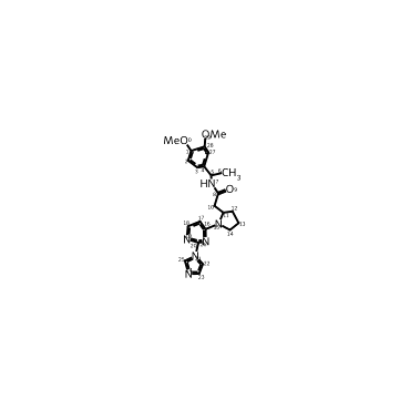 COc1ccc(C(C)NC(=O)CC2CCCN2c2ccnc(-n3ccnc3)n2)cc1OC